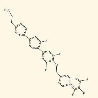 CCCc1ccc(-c2ccc(-c3cc(F)c(OCc4ccc5c(F)c(F)c(F)cc5c4)c(F)c3)c(F)c2)cc1